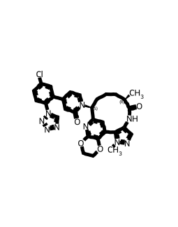 C[C@@H]1CCC[C@H](n2ccc(-c3cc(Cl)ccc3-n3cnnn3)cc2=O)c2cc(c3c(n2)OCCO3)-c2c(cnn2C)NC1=O